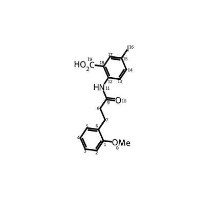 COc1ccccc1CCC(=O)Nc1ccc(I)cc1C(=O)O